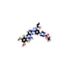 C=CC(=O)Nc1cc(N2CCN(C(=O)OC(C)(C)C)CC2)ccc1Nc1ncc2c(n1)N(C)C(=O)N(c1c(Cl)c(OC)cc(OC)c1Cl)C2